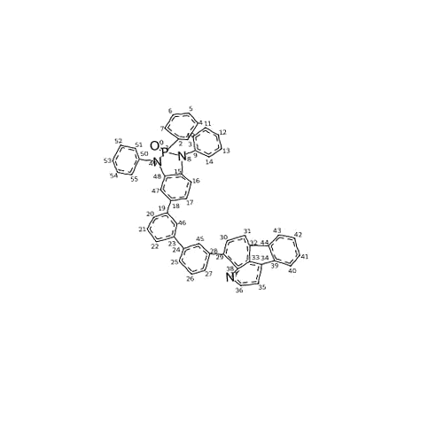 O=P1(c2ccccc2)N(c2ccccc2)c2ccc(-c3cccc(-c4cccc(-c5ccc6c7c(ccnc57)-c5ccccc5-6)c4)c3)cc2N1c1ccccc1